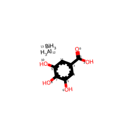 O=C(O)c1cc(O)c(O)c(O)c1.[AlH3].[BiH3]